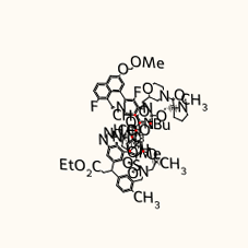 C#Cc1c(F)ccc2cc(OCOC)cc(-c3ncc4c(N5C[C@H]6CC[C@@H](C5)N6C(=O)OC(C)(C)C)nc(OC[C@@]5(C(=O)N6CCOC(COCCOc7ccc8c(c7)O[C@H](C)CN(Cc7cc(C(CC(=O)OCC)c9cc(OC)c%10c(c9)nnn%10C)ccc7C)S8(=O)=O)C6)CCCN5C)nc4c3F)c12